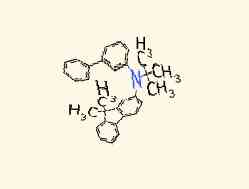 CC1(C)c2ccccc2-c2ccc(N(c3cccc(-c4ccccc4)c3)C(C)(C)C)cc21